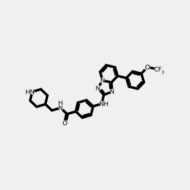 O=C(NCC1CCNCC1)c1ccc(Nc2nc3c(-c4cccc(OC(F)(F)F)c4)cccn3n2)cc1